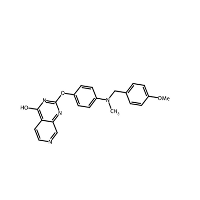 COc1ccc(CN(C)c2ccc(Oc3nc(O)c4ccncc4n3)cc2)cc1